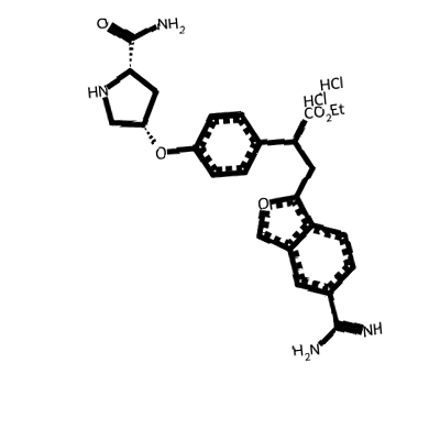 CCOC(=O)C(Cc1occ2cc(C(=N)N)ccc12)c1ccc(O[C@@H]2CN[C@H](C(N)=O)C2)cc1.Cl.Cl